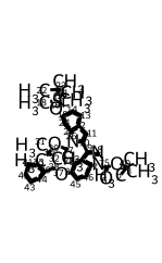 CC(C)(C)OC(=O)n1nc(-c2cc3ccc(O[Si](C)(C)C(C)(C)C)cc3n2C(=O)OC(C)(C)C)c2cc(OCc3ccccc3)ccc21